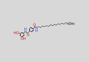 CCCCCCCCCCCCCCCCCCCCCCCCCNC(=O)c1ccc(C(=O)Nc2cc(O)cc(O)c2)cc1